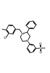 Cc1ccc(CN2CCN(c3cccc(S(C)(=O)=O)c3)CC2c2ccccc2)cc1Cl